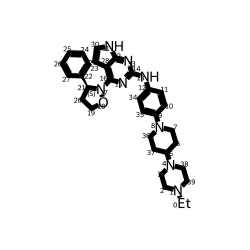 CCN1CCN(C2CCN(c3ccc(Nc4nc(N5OCC[C@H]5c5ccccc5)c5cc[nH]c5n4)cc3)CC2)CC1